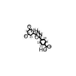 O=C1CC(=O)NC(c2nnc(-c3ccc(C(=O)O)cc3)o2)C1